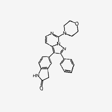 O=C1Cc2cc(-c3c(-c4ccccc4)nn4c(N5CCOCC5)nccc34)ccc2N1